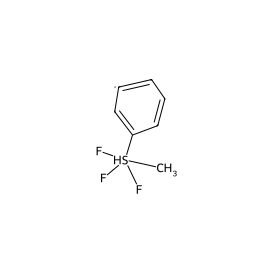 C[SH](F)(F)(F)c1c[c]ccc1